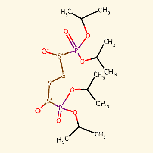 CC(C)OP(=O)(OC(C)C)[S+]([O-])SS[S+]([O-])P(=O)(OC(C)C)OC(C)C